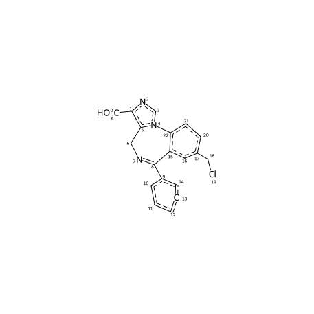 O=C(O)c1ncn2c1CN=C(c1ccccc1)c1cc(CCl)ccc1-2